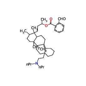 CCCN(CCC)CCC12CCCCC1=C1CCC3C(C)(CCC(C)OC(=O)c4ccccc4C=O)C(C)CCC3(C)C1(C)CC2